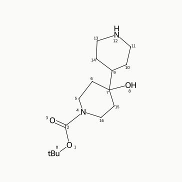 CC(C)(C)OC(=O)N1CCC(O)(C2CCNCC2)CC1